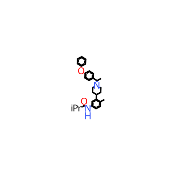 Cc1ccc(NC(=O)C(C)C)cc1C1CCN(C(C)c2ccc(Oc3ccccc3)cc2)CC1